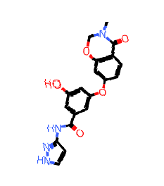 CN1COc2cc(Oc3cc(O)cc(C(=O)Nc4cc[nH]n4)c3)ccc2C1=O